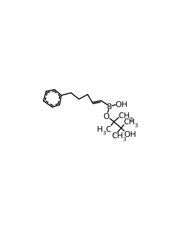 CC(C)(O)C(C)(C)OB(O)C=CCCCc1ccccc1